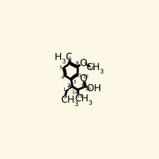 CC[C@@H](c1ccc(C)c(OC)c1)C(C)C(=O)O